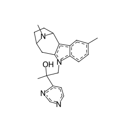 Cc1ccc2c(c1)c1c(n2CC(C)(O)c2ccncn2)CC2CCC1N2C